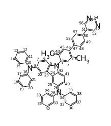 Cc1cc(-n2c3ccc(N(c4ccccc4)c4ccccc4)cc3c3cc(N(c4ccccc4)c4ccccc4)ccc32)c(C)cc1-c1ccc(-c2cncnc2)cc1